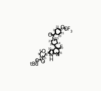 CC(C)(C)OC(=O)N1CCO[C@H](c2cc3c(C4CCN(C(=O)c5ccc(OC(F)(F)F)cc5)CC4)c(F)cnc3[nH]2)C1